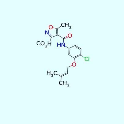 CC(C)=CCOc1cc(NC(=O)c2c(C(=O)O)noc2C)ccc1Cl